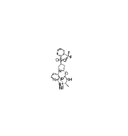 C[C@H](NC(=O)O[C@H]1C[C@H](S(=O)(=O)c2ccccc2C(F)(F)F)CN1c1ccnc(C#N)c1)C(F)(F)F